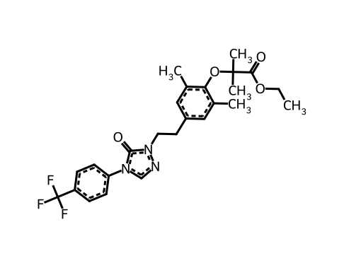 CCOC(=O)C(C)(C)Oc1c(C)cc(CCn2ncn(-c3ccc(C(F)(F)F)cc3)c2=O)cc1C